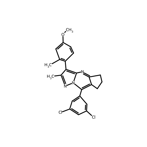 COc1ccc(-c2c(C)nn3c(-c4cc(Cl)cc(Cl)c4)c4c(nc23)CCC4)c(C)c1